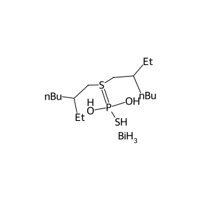 CCCCC(CC)CS(CC(CC)CCCC)=P(O)(O)S.[BiH3]